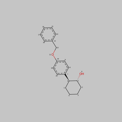 O[C@@H]1CCCC[C@H]1c1ccc(OCc2ccccc2)cc1